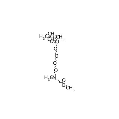 CCOC(=O)/C=C/CN(C)CCOCCOCCOCCOCCON(C)C(=O)OC(C)(C)C